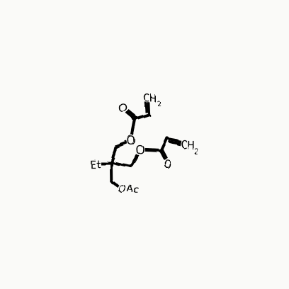 C=CC(=O)OCC(CC)(COC(C)=O)COC(=O)C=C